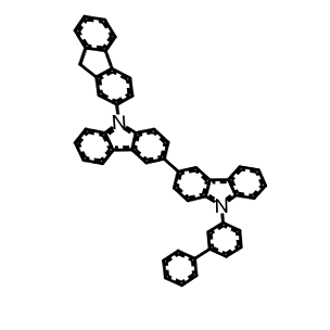 c1ccc(-c2cccc(-n3c4ccccc4c4cc(-c5ccc6c(c5)c5ccccc5n6-c5ccc6c(c5)Cc5ccccc5-6)ccc43)c2)cc1